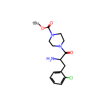 CC(C)(C)OC(=O)N1CCN(C(=O)C(N)Cc2ccccc2Cl)CC1